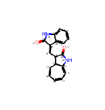 O=C1Nc2ccccc2/C1=C\C1C(=O)NC2=CC=CC=CC21